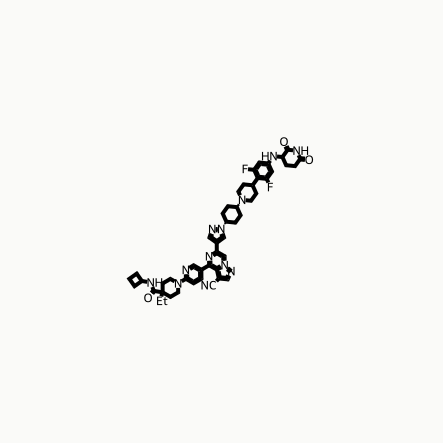 CCC1(C(=O)NC2CCC2)CCN(c2ccc(-c3nc(-c4cnn([C@H]5CC[C@H](N6CCC(c7c(F)cc(NC8CCC(=O)NC8=O)cc7F)CC6)CC5)c4)cn4ncc(C#N)c34)cn2)CC1